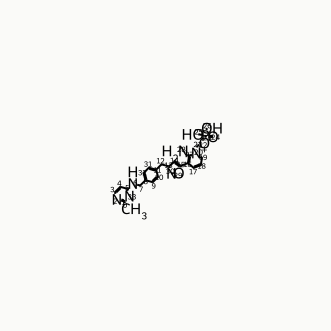 Cc1nccc(NCc2ccc(Cc3cc(-c4ccc[n+](COP(=O)(O)O)c4N)on3)cc2)n1